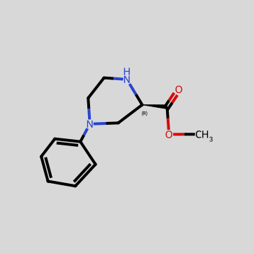 COC(=O)[C@H]1CN(c2ccccc2)CCN1